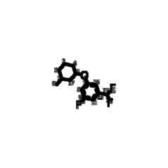 CC1CCCC(Oc2cc(F)cc(C(F)F)c2)C1